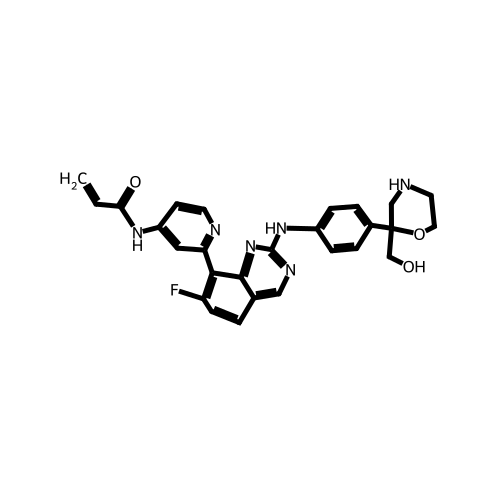 C=CC(=O)Nc1ccnc(-c2c(F)ccc3cnc(Nc4ccc(C5(CO)CNCCO5)cc4)nc23)c1